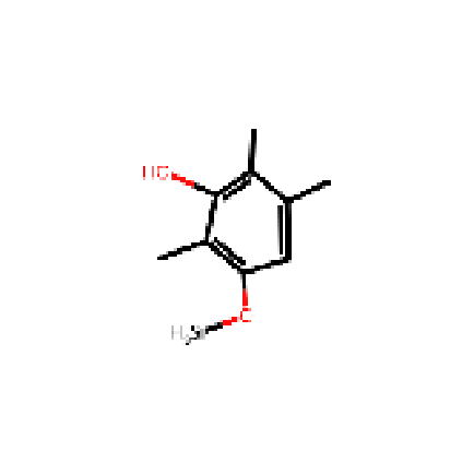 Cc1cc(O[SiH3])c(C)c(O)c1C